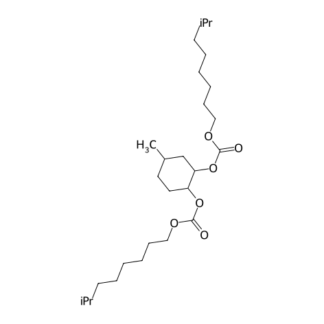 CC(C)CCCCCCOC(=O)OC1CCC(C)CC1OC(=O)OCCCCCCC(C)C